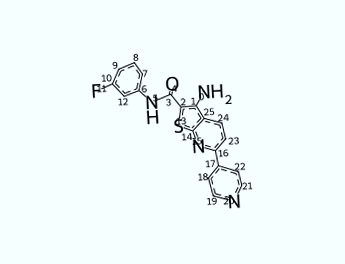 Nc1c(C(=O)Nc2cccc(F)c2)sc2nc(-c3ccncc3)ccc12